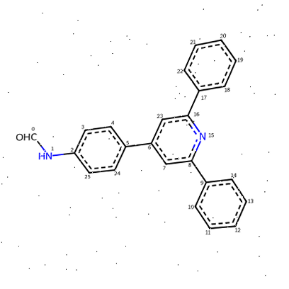 O=CNc1ccc(-c2cc(-c3ccccc3)nc(-c3ccccc3)c2)cc1